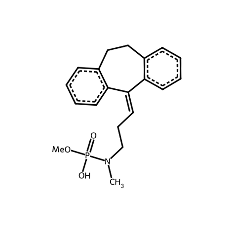 COP(=O)(O)N(C)CCC=C1c2ccccc2CCc2ccccc21